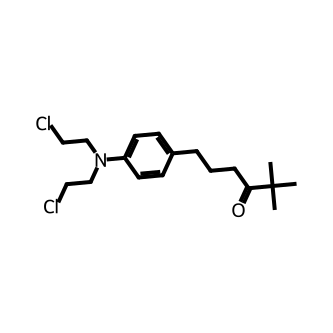 CC(C)(C)C(=O)CCCc1ccc(N(CCCl)CCCl)cc1